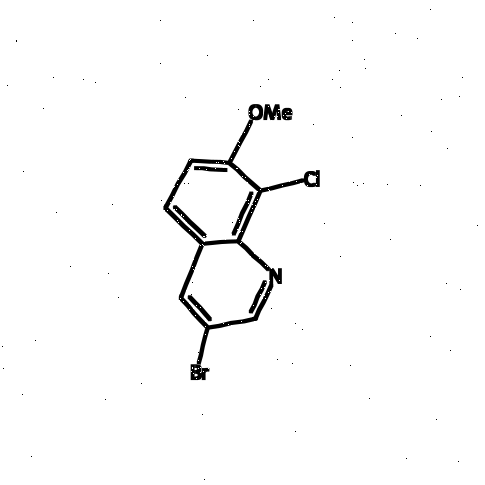 COc1ccc2cc(Br)cnc2c1Cl